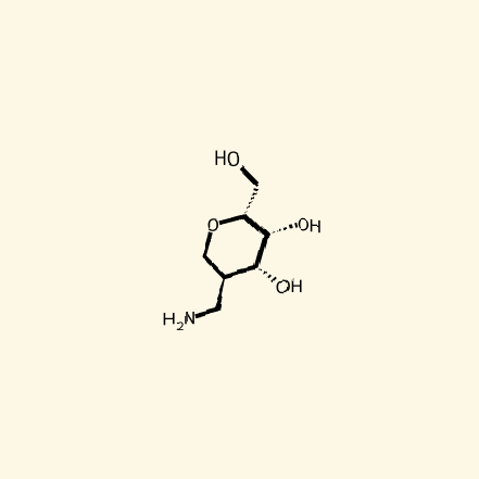 NC[C@H]1CO[C@H](CO)[C@H](O)[C@@H]1O